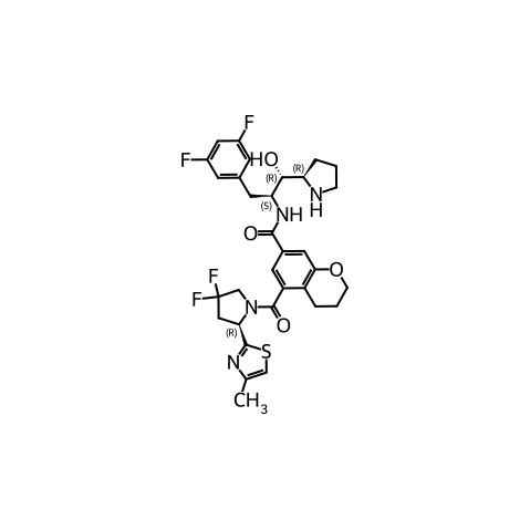 Cc1csc([C@H]2CC(F)(F)CN2C(=O)c2cc(C(=O)N[C@@H](Cc3cc(F)cc(F)c3)[C@H](O)[C@H]3CCCN3)cc3c2CCCO3)n1